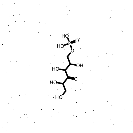 O=C(C(O)CO)C(O)C(O)COP(=O)(O)O